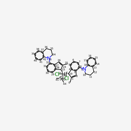 CC1=Cc2c(cccc2N2CCCc3ccccc32)[CH]1[Hf]([Cl])([Cl])([CH]1C(C)=Cc2c1cccc2N1CCCc2ccccc21)=[Si](C)C